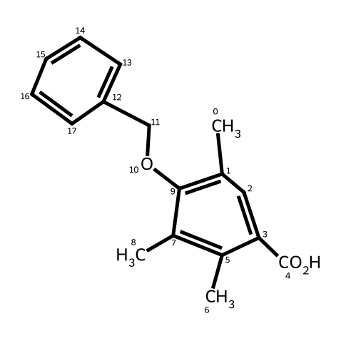 Cc1cc(C(=O)O)c(C)c(C)c1OCc1ccccc1